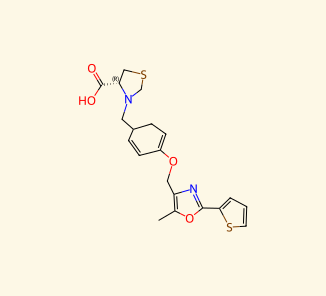 Cc1oc(-c2cccs2)nc1COC1=CCC(CN2CSC[C@H]2C(=O)O)C=C1